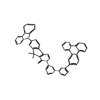 C=C1C2=C(C=CC1c1cccc(-c3cccc(-c4ccc5c6ccccc6c6nccnc6c5c4)c3)c1)c1ccc(-n3c4ccccc4c4ccccc43)cc1C2(C)C